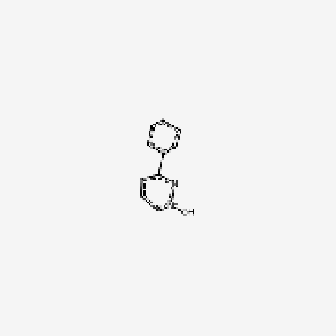 O[n+]1cccc(-c2ccccc2)n1